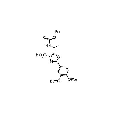 CCOc1cc(-c2nc(C(=O)O)c(C(C)NC(=O)OC(C)(C)C)o2)ccc1OC